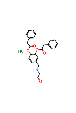 Cl.O=CCNCc1ccc(OC(=O)Cc2ccccc2)c(OC(=O)Cc2ccccc2)c1